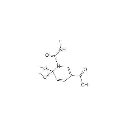 CNC(=O)N1C=C(C(=O)O)C=CC1(OC)OC